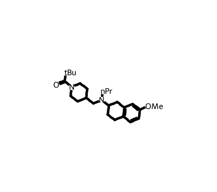 CCCN(CC1CCN(C(=O)C(C)(C)C)CC1)C1CCc2ccc(OC)cc2C1